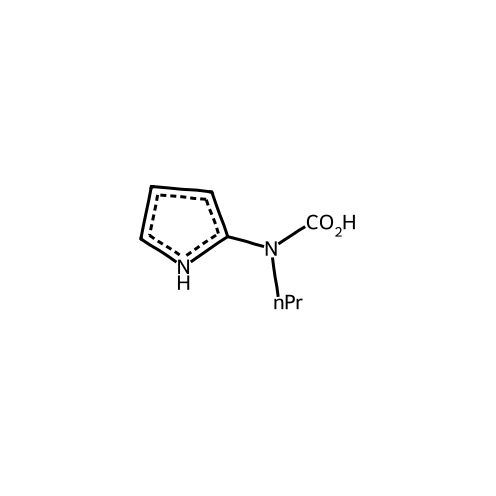 CCCN(C(=O)O)c1ccc[nH]1